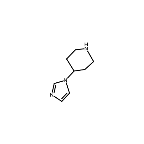 c1cn(C2CCNCC2)cn1